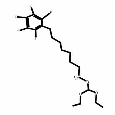 CCOC(OCC)O[SiH2]CCCCCCCc1c(F)c(F)c(F)c(F)c1F